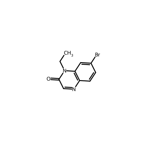 CCn1c(=O)cnc2ccc(Br)cc21